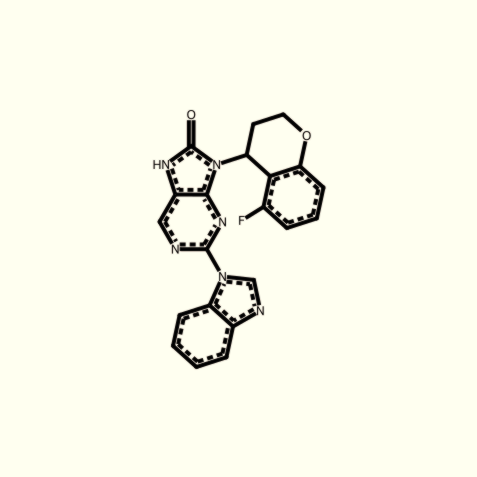 O=c1[nH]c2cnc(-n3cnc4ccccc43)nc2n1C1CCOc2cccc(F)c21